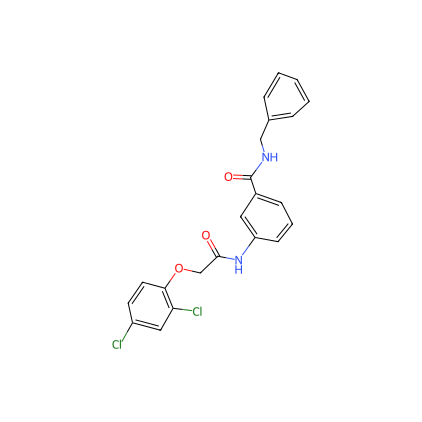 O=C(COc1ccc(Cl)cc1Cl)Nc1cccc(C(=O)NCc2ccccc2)c1